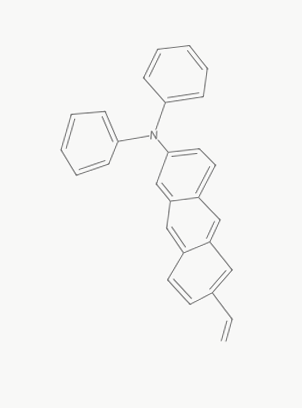 C=Cc1ccc2cc3cc(N(c4ccccc4)c4ccccc4)ccc3cc2c1